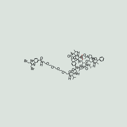 CC[C@H](C)[C@@H]([C@@H](CC(=O)N1CCC[C@H]1[C@H](OC)[C@@H](C)C(=O)N[C@H](C)[C@@H](O)c1ccccc1)OC)N(C)C(=O)[C@@H](NC(=O)[C@H](C(C)C)N(C)C(=O)OCc1ccc(NC(=O)[C@H](CCCNC(N)=O)NC(=O)[C@@H](NC(=O)CCOCCOCCOCCOCCNC(=O)c2ccc3nc(CBr)c(CBr)nc3c2)C(C)C)cc1)C(C)C